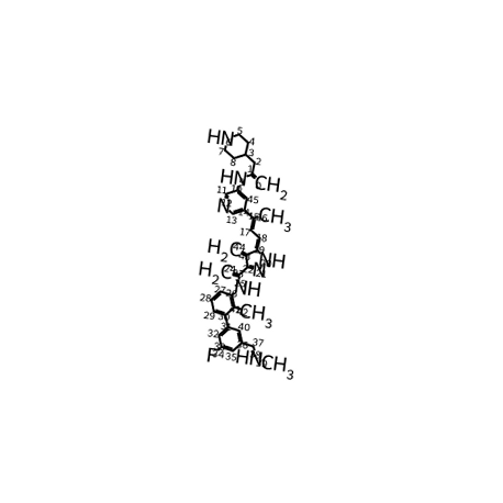 C=C(CC1CCNCC1)Nc1cncc(/C(C)=C/C=c2/[nH]nc(C(=C)Nc3cccc(-c4cc(F)cc(CNC)c4)c3C)c2=C)c1